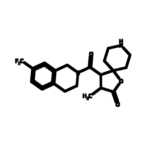 CC1C(=O)OC2(CCNCC2)C1C(=O)N1CCc2ccc(C(F)(F)F)cc2C1